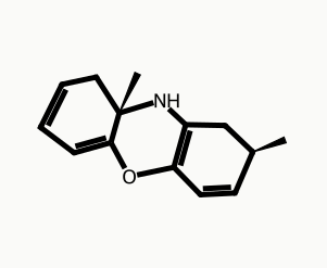 C[C@H]1C=CC2=C(C1)N[C@@]1(C)CC=CC=C1O2